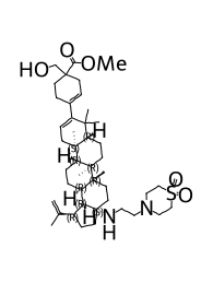 C=C(C)[C@@H]1CC[C@]2(NCCN3CCS(=O)(=O)CC3)CC[C@]3(C)[C@H](CC[C@@H]4[C@@]5(C)CC=C(C6=CCC(CO)(C(=O)OC)CC6)C(C)(C)[C@@H]5CC[C@]43C)[C@@H]12